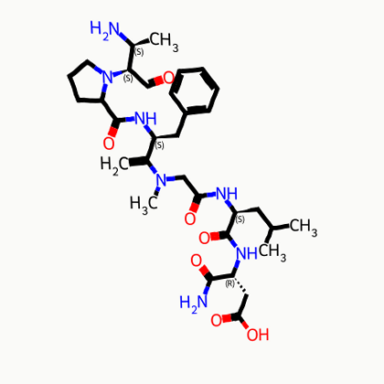 C=C([C@H](Cc1ccccc1)NC(=O)C1CCCN1[C@H](C=O)[C@H](C)N)N(C)CC(=O)N[C@@H](CC(C)C)C(=O)N[C@H](CC(=O)O)C(N)=O